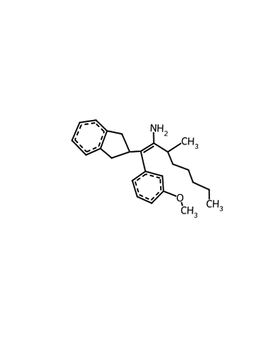 CCCCCC(C)C(N)=C(c1cccc(OC)c1)C1Cc2ccccc2C1